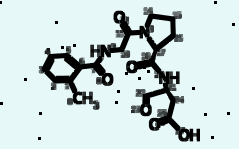 Cc1ccccc1C(=O)NCC(=O)N1CCC[C@H]1C(=O)N[C@H](C=O)CC(=O)O